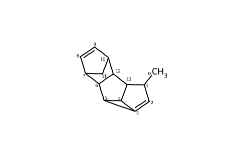 CC1C=C2C3C2C2C4C=CC(C4)C2C13